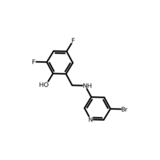 Oc1c(F)cc(F)cc1CNc1cncc(Br)c1